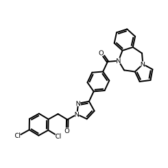 O=C(c1ccc(-c2ccn(C(=O)Cc3ccc(Cl)cc3Cl)n2)cc1)N1Cc2cccn2Cc2ccccc21